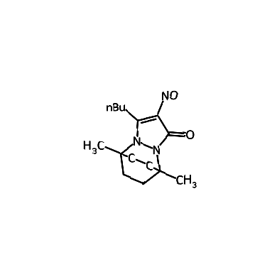 CCCCc1c(N=O)c(=O)n2n1C1(C)CCC2(C)CC1